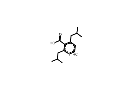 CC(C)Cc1ccnc(CC(C)C)c1C(=O)O.Cl